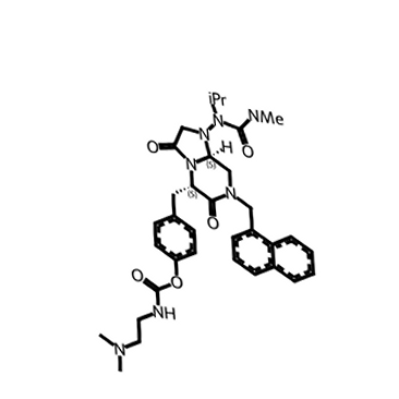 CNC(=O)N(C(C)C)N1CC(=O)N2[C@@H](Cc3ccc(OC(=O)NCCN(C)C)cc3)C(=O)N(Cc3cccc4ccccc34)C[C@@H]21